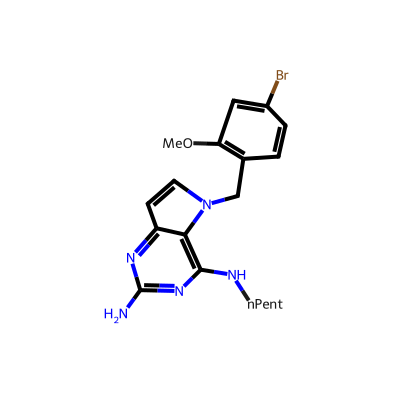 CCCCCNc1nc(N)nc2ccn(Cc3ccc(Br)cc3OC)c12